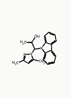 Cc1cc(C)n(C(C(C)O)n2c3ccccc3c3ccccc32)n1